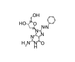 Nc1nc2c(nc(N=Nc3ccccc3)n2[C@H]2CC(O)[C@@H](CO)O2)c(=O)[nH]1